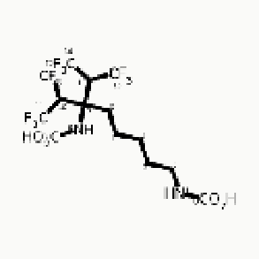 O=C(O)NCCCCCC(NC(=O)O)(C(C(F)(F)F)C(F)(F)F)C(C(F)(F)F)C(F)(F)F